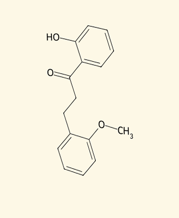 COc1ccccc1CCC(=O)c1ccccc1O